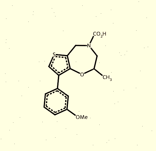 COc1cccc(-c2csc3c2OC(C)CN(C(=O)O)C3)c1